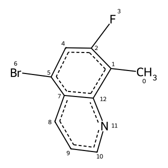 Cc1c(F)cc(Br)c2cccnc12